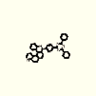 c1ccc(-c2nc(-c3ccccc3)nc(-c3ccc(-c4nc5ccccc5c5c4ccc4ccc6ncccc6c45)cc3)n2)cc1